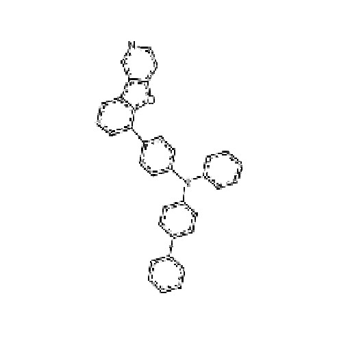 c1ccc(-c2ccc(N(c3ccccc3)c3ccc(-c4cccc5c4oc4ccncc45)cc3)cc2)cc1